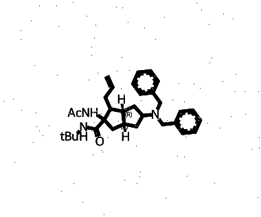 C=CCC1[C@@H]2CC(N(Cc3ccccc3)Cc3ccccc3)C[C@@H]2CC1(NC(C)=O)C(=O)NC(C)(C)C